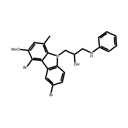 COc1cc(C)c2c(c1Br)c1cc(Br)ccc1n2CC(O)CNc1ccccc1